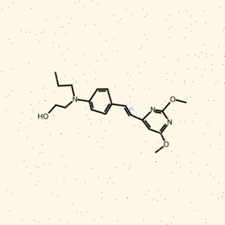 CCCN(CCO)c1ccc(/C=C/c2cc(OC)nc(OC)n2)cc1